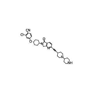 N#Cc1ccc(O[C@H]2CC[C@H](N3Cc4nc(C#CC5CCN(C6CCNCC6)CC5)ccc4C3=O)CC2)cc1Cl